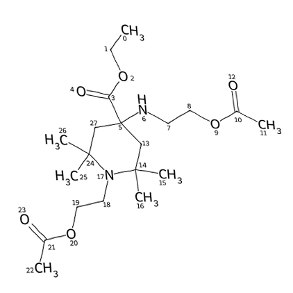 CCOC(=O)C1(NCCOC(C)=O)CC(C)(C)N(CCOC(C)=O)C(C)(C)C1